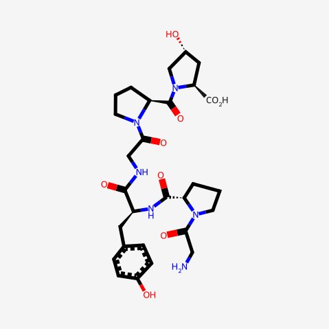 NCC(=O)N1CCC[C@H]1C(=O)N[C@@H](Cc1ccc(O)cc1)C(=O)NCC(=O)N1CCC[C@H]1C(=O)N1C[C@H](O)C[C@H]1C(=O)O